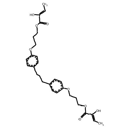 CC=C(O)C(=O)OCCCOc1ccc(CCCc2ccc(OCCCOC(=O)C(O)=CC)cc2)cc1